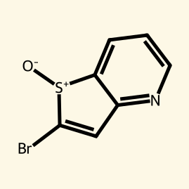 [O-][s+]1c(Br)cc2ncccc21